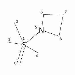 C=S(C)(C)(C)N1CCC1